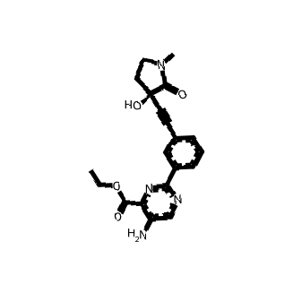 CCOC(=O)c1nc(-c2cccc(C#C[C@]3(O)CCN(C)C3=O)c2)ncc1N